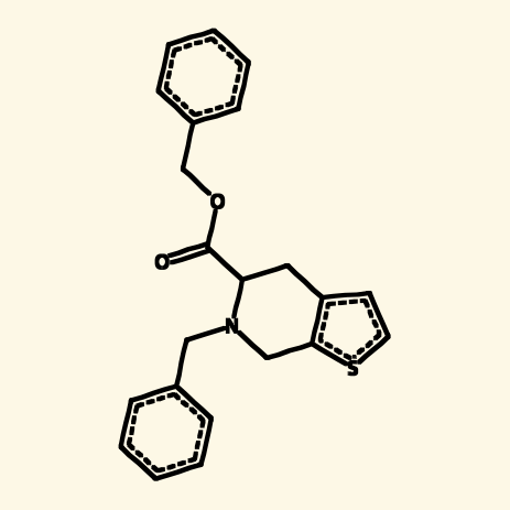 O=C(OCc1ccccc1)C1Cc2ccsc2CN1Cc1ccccc1